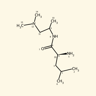 CC(C)C[C@H](N)C(=O)NC(C)CN(C)C